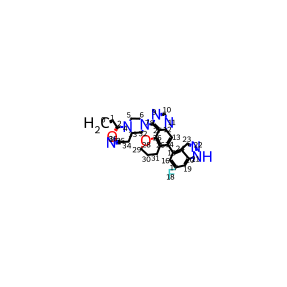 C=CC(=O)N1CCN(c2ncnc3cc(-c4cc(F)cc5[nH]ncc45)c4c(c23)OCCC4)CC1CC#N